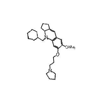 COc1cc2c(cc1OCCCN1CCCC1)N(CC1CCCCC1)C1CCCC1=C2